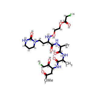 COC(=O)CC(NC(=O)C(C)NC(=O)C(NC(=O)C(CCN1CCCNC1=O)NOCCOC(=O)CF)C(C)C)C(=O)CF